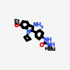 CCOc1ccc2c(N)c(-c3ccc(NC(=O)N[C@H](C)CC)cc3)n(C3CCC3)c2c1